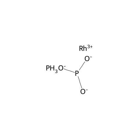 P.[O-]P([O-])[O-].[Rh+3]